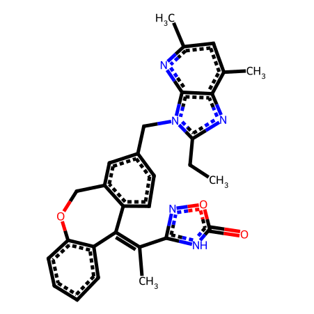 CCc1nc2c(C)cc(C)nc2n1Cc1ccc2c(c1)COc1ccccc1/C2=C(\C)c1noc(=O)[nH]1